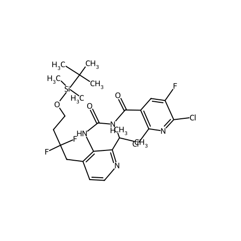 CC(C)c1nccc(CC(F)(F)CCO[Si](C)(C)C(C)(C)C)c1NC(=O)NC(=O)c1cc(F)c(Cl)nc1Cl